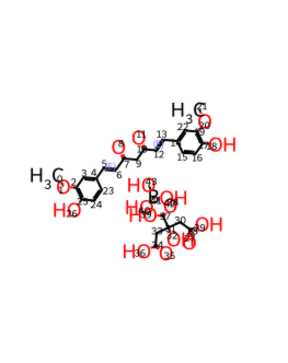 COc1cc(/C=C/C(=O)CC(=O)/C=C/c2ccc(O)c(OC)c2)ccc1O.O=C(O)CC(O)(CC(=O)O)C(=O)O.OB(O)O